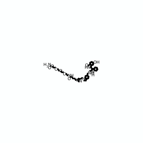 NC(=O)OCCOCCOCCOCCNC(=O)CCCCn1cnc(Cn2ccc3ccc(CNCc4[nH]c5ccccc5c4C4NC(=O)c5ccc(O)cc54)cc32)c1